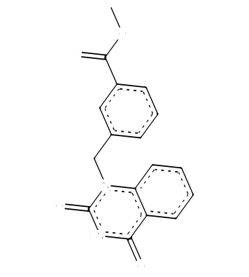 COC(=O)c1cccc(Cn2c(=O)[nH]c(=O)c3ccccc32)c1